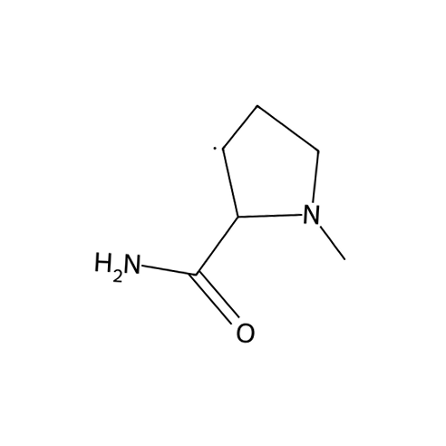 CN1CC[CH]C1C(N)=O